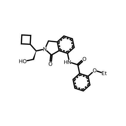 CCOc1ccccc1C(=O)Nc1cccc2c1C(=O)N([C@@H](CO)C1CCC1)C2